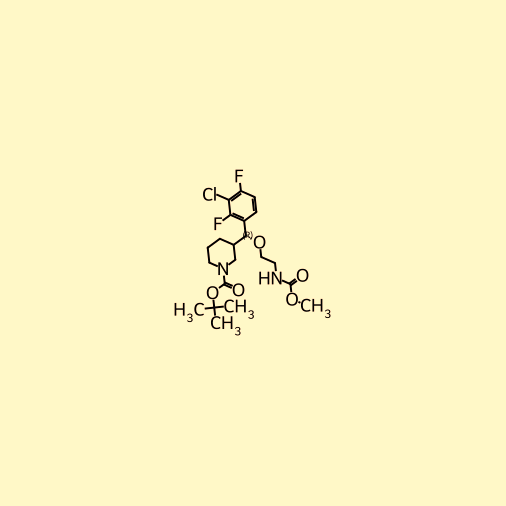 COC(=O)NCCO[C@@H](c1ccc(F)c(Cl)c1F)C1CCCN(C(=O)OC(C)(C)C)C1